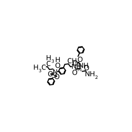 CC(C)CCN(c1cccc(CC(C)CNC(=O)[C@@H](CC(N)=O)NC(=O)OCc2ccccc2)c1O)S(=O)(=O)c1ccccc1